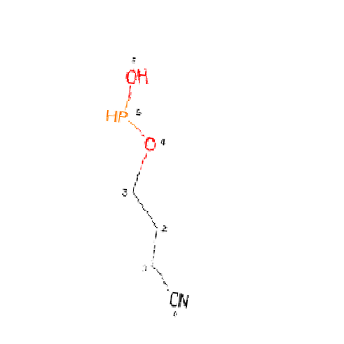 N#CCCCOPO